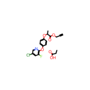 C#CCOC(=O)C(C)Oc1ccc(Oc2ncc(Cl)cc2F)cc1.CCC(=O)O